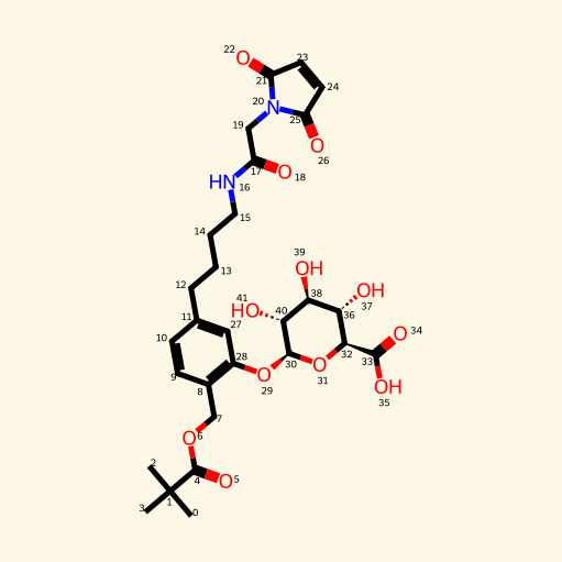 CC(C)(C)C(=O)OCc1ccc(CCCCNC(=O)CN2C(=O)C=CC2=O)cc1O[C@@H]1O[C@H](C(=O)O)[C@@H](O)[C@H](O)[C@H]1O